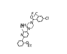 CCOc1ccccc1-c1ccc(N2CCN(C(=O)c3ccc(Cl)cc3C(F)(F)F)C[C@H]2CC)c(C)n1.N